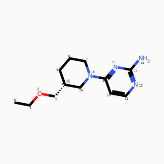 CCOC[C@@H]1CCCN(c2ccnc(N)n2)C1